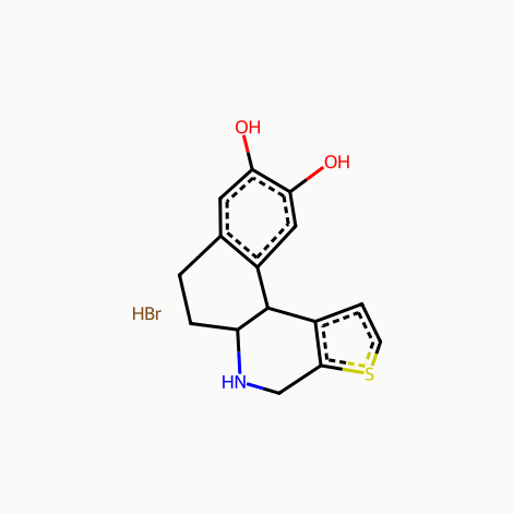 Br.Oc1cc2c(cc1O)C1c3ccsc3CNC1CC2